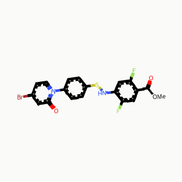 COC(=O)c1cc(F)c(NSc2ccc(-n3ccc(Br)cc3=O)cc2)cc1F